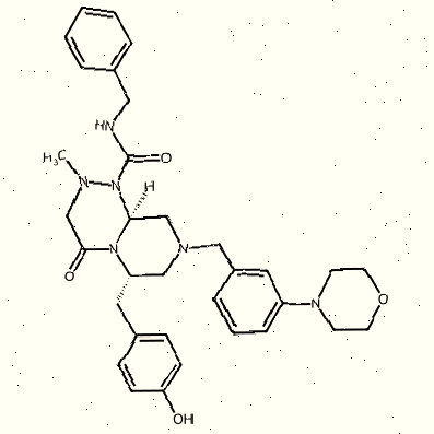 CN1CC(=O)N2[C@@H](Cc3ccc(O)cc3)CN(Cc3cccc(N4CCOCC4)c3)C[C@@H]2N1C(=O)NCc1ccccc1